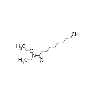 [CH]=CCCCCCCCC(=O)N(CC)OCC